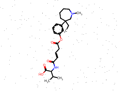 CCC1(c2cccc(OC(=O)C/C=C/C(=O)NC(C(=O)O)C(C)C)c2)CCCCN(C)C1